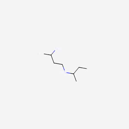 CCCC(N)CCNC(C)CC(C)C